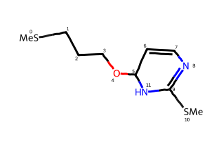 CSCCCO[C]1C=CN=C(SC)N1